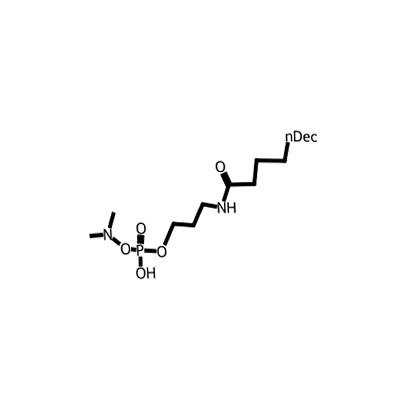 CCCCCCCCCCCCCC(=O)NCCCOP(=O)(O)ON(C)C